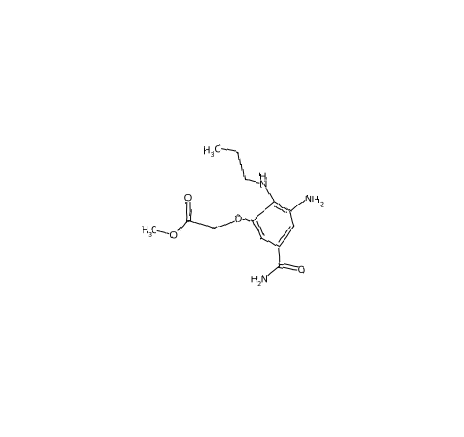 CCCNc1c(N)cc(C(N)=O)cc1OCC(=O)OC